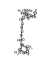 CN[C@H](C)C(=O)N[C@@H](C(=O)N1CCC[C@@H]1C1=NC(C(=O)c2ccc(F)cc2)CS1)C1CCN(C(=O)CCOCCOCCOCCOCCC(=O)NCCn2cc3c(n2)CN(C)C(=O)c2ccc(F)cc2[C@H]2CCCN2c2cc-3cnc2N)CC1